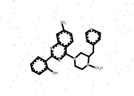 Cc1ccc2c(N3CCN(C(=O)O)C(Cc4ccncc4)C3)nc(-c3ccccc3O)nc2c1